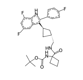 CC(C)(C)OC(=O)NC1(C(=O)NC[C@H]2C[C@H](c3c(-c4ccc(F)cc4)[nH]c4c(F)cc(F)cc43)C2)CCC1